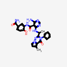 Cc1ccn2nc(C(C)Nc3ncnc(N)c3C(=O)Nc3cc(C(N)=O)ccc3O)n(-c3ccccc3)c(=O)c12